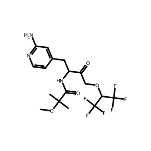 COC(C)(C)C(=O)NC(Cc1ccnc(N)c1)C(=O)COC(C(F)(F)F)C(F)(F)F